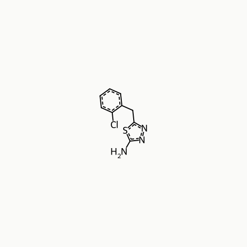 Nc1nnc(Cc2ccccc2Cl)s1